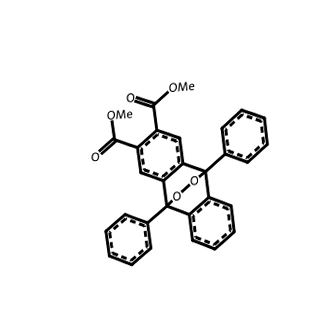 COC(=O)c1cc2c(cc1C(=O)OC)C1(c3ccccc3)OOC2(c2ccccc2)c2ccccc21